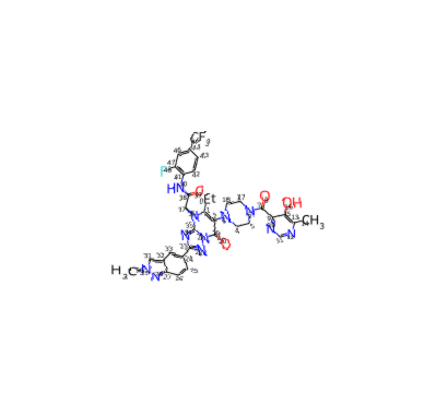 CCc1c(N2CCN(C(=O)c3ncnc(C)c3O)CC2)c(=O)n2nc(-c3ccc4nn(C)cc4c3)nc2n1CC(=O)Nc1ccc(C(F)(F)F)cc1F